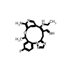 CCN/C1=C(\C=N)Cc2ncnn2-c2ccc(F)cc2C(C)Oc2cc1cnc2N